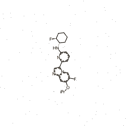 CC(C)Oc1cc2ncc(-c3cccc(N[C@H]4CCCC[C@@H]4F)n3)n2cc1F